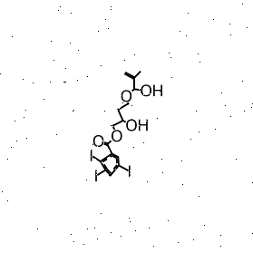 C=C(C)C(O)OCCC(O)COC(=O)c1cc(I)cc(I)c1I